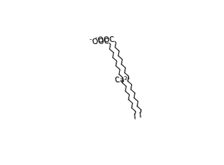 O=C([O-])CCCCCCCCCCCCCCCCCI.O=C([O-])CCCCCCCCCCCCCCCCCI.[Ca+2]